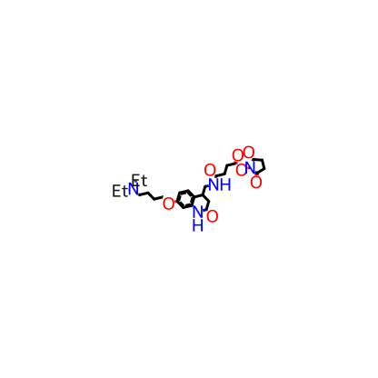 CCN(CC)CCCCOc1ccc2c(c1)NC(=O)CC2CNC(=O)CCC(=O)ON1C(=O)CCC1=O